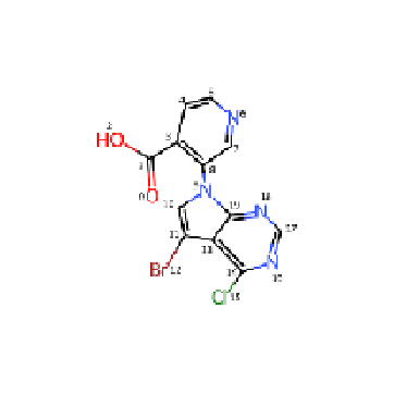 O=C(O)c1ccncc1-n1cc(Br)c2c(Cl)ncnc21